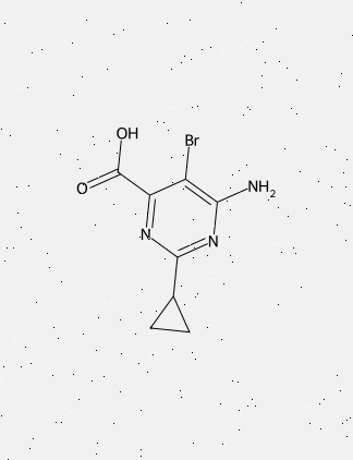 Nc1nc(C2CC2)nc(C(=O)O)c1Br